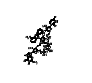 COCC[C@H]1[C@@H](O)[C@H](n2c[n+](C)c3c(=O)[nH]c(N)nc32)O[C@@H]1COP(=O)(O)OP(=O)(O)OP(=O)(O)OC[C@H]1O[C@@H](n2cnc3c(N)ncnc32)[C@H](Oc2ccccc2)[C@@H]1P(=O)([O-])OC[C@H]1O[C@@H](n2ccc(=O)[nH]c2=O)[C@H](O)[C@@H]1O